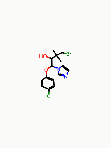 CC(C)(CBr)C(O)C(Oc1ccc(Cl)cc1)n1ccnc1